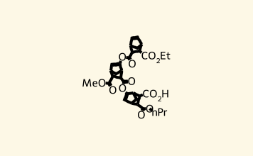 CCCOC(=O)C1C2C=C(OC(=O)C3C4CC(C=C4OC(=O)C4C5C=CC(C5)C4C(=O)OCC)C3C(=O)OC)C(C2)C1C(=O)O